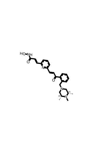 C[C@@H]1CN(Cc2ccccc2C(=O)C=Cc2cccc(C=CC(=O)NO)n2)C[C@H](C)N1C